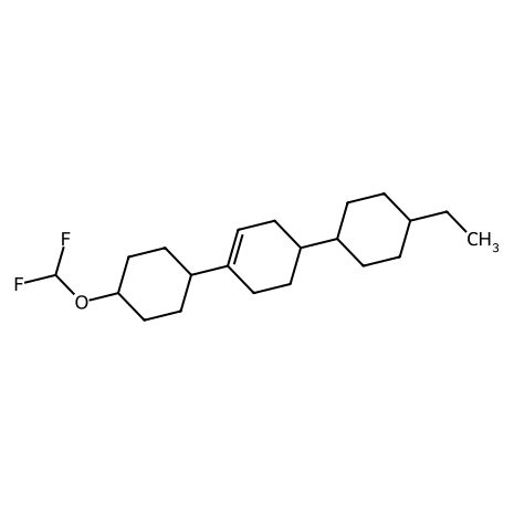 CCC1CCC(C2CC=C(C3CCC(OC(F)F)CC3)CC2)CC1